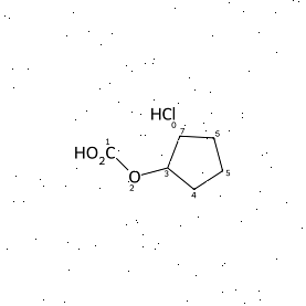 Cl.O=C(O)OC1CCCC1